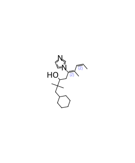 C/C=C\C(C)=C(\CC(O)C(C)(C)CC1CCCCC1)n1ccnc1